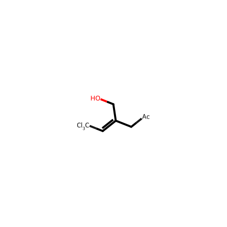 CC(=O)CC(=CC(Cl)(Cl)Cl)CO